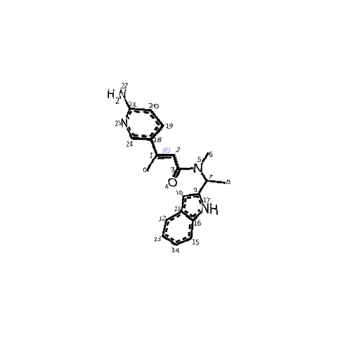 C/C(=C\C(=O)N(C)C(C)c1cc2ccccc2[nH]1)c1ccc(N)nc1